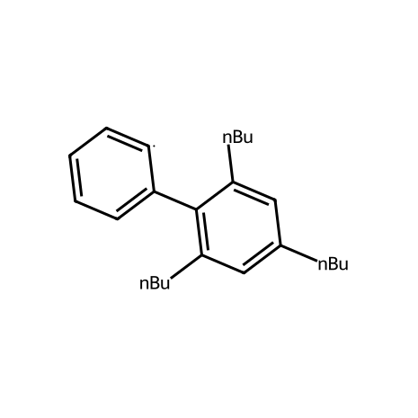 CCCCc1cc(CCCC)c(-c2[c]cccc2)c(CCCC)c1